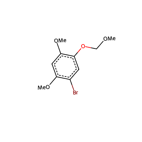 COCOc1cc(Br)c(OC)cc1OC